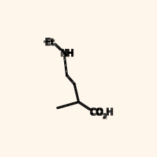 C[CH]NCCC(C)C(=O)O